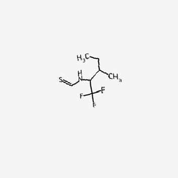 CCC(C)C(NC=S)C(F)(F)F